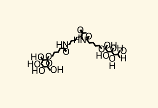 CC(=O)[C@@H](CCCCNC(=O)CCCCOC1OC(CO)C(O)C(O)C1O)NC(=O)CCCCOC(O)C(O)C(O)C(O)C(C)CO